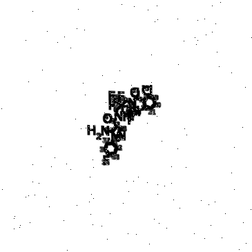 Nc1c(C(=O)NCC(O)(CN(CCF)C(=O)c2c(Cl)cccc2Br)C(F)(F)F)cnn1-c1ccc(F)cc1